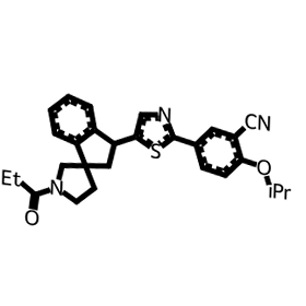 CCC(=O)N1CCC2(CC(c3cnc(-c4ccc(OC(C)C)c(C#N)c4)s3)c3ccccc32)C1